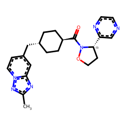 Cc1nc2cc(C[C@H]3CC[C@H](C(=O)N4OCC[C@H]4c4cnccn4)CC3)ccn2n1